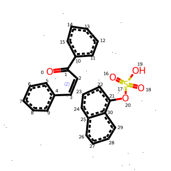 O=C(/C=C\c1ccccc1)c1ccccc1.O=S(=O)(O)Oc1cccc2ccccc12